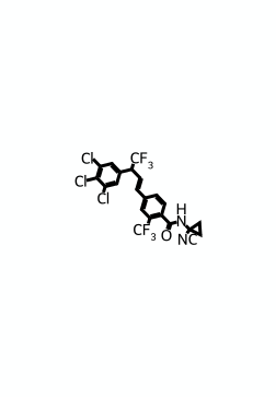 N#CC1(NC(=O)c2ccc(/C=C/C(c3cc(Cl)c(Cl)c(Cl)c3)C(F)(F)F)cc2C(F)(F)F)CC1